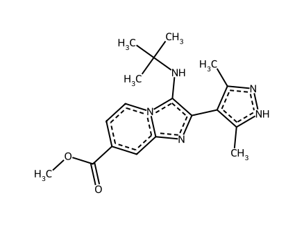 COC(=O)c1ccn2c(NC(C)(C)C)c(-c3c(C)n[nH]c3C)nc2c1